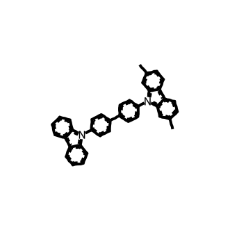 Cc1ccc2c3ccc(C)cc3n(-c3ccc(-c4ccc(-n5c6ccccc6c6ccccc65)cc4)cc3)c2c1